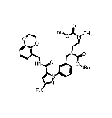 CN(CCN(Cc1cccc(-n2nc(C(F)(F)F)cc2C(=O)NCc2cccc3c2OCCO3)c1)C(=O)OC(C)(C)C)C(=O)OC(C)(C)C